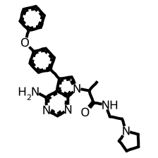 CC(C(=O)NCCN1CCCC1)n1cc(-c2ccc(Oc3ccccc3)cc2)c2c(N)ncnc21